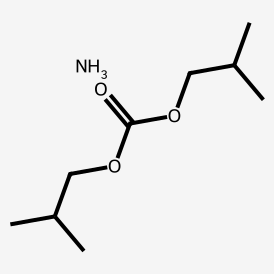 CC(C)COC(=O)OCC(C)C.N